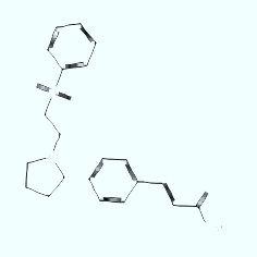 COC(=O)C=Cc1ccc([C@@H]2CCCN2CCS(=O)(=O)c2ccccc2)cc1